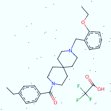 CCOc1ccccc1CN1CCC2(CC1)CCN(C(=O)c1ccc(CC)cc1)CC2.O=C(O)C(F)(F)F